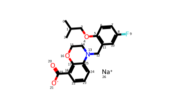 CC(C)COc1ccc(F)cc1CN1CCOc2c(C(=O)[O-])cccc21.[Na+]